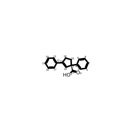 O=C(O)[C@@]1(c2ccccc2)C=C(c2ccccc2)CC1